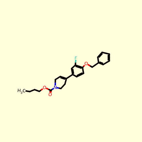 CCCCOC(=O)N1CC=C(c2ccc(OCc3ccccc3)c(F)c2)CC1